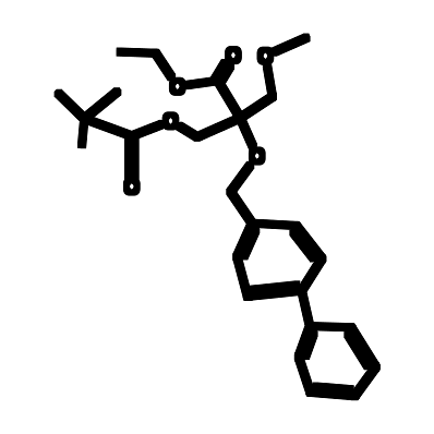 CCOC(=O)C(COC)(COC(=O)C(C)(C)C)OCc1ccc(-c2ccccc2)cc1